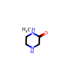 C.O=C1CNCCN1